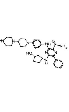 CN1CCN(C2CCN(c3ccc(Nc4nc(N[C@H]5CC[C@H](O)C5)c(-c5ccccc5)nc4C(N)=O)cc3)CC2)CC1